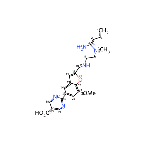 C=C/C=C(/N)N(C)CCNCc1cc2cc(-c3ncc(C(=O)O)cn3)cc(OC)c2o1